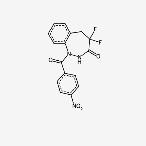 O=C(c1ccc([N+](=O)[O-])cc1)N1NC(=O)C(F)(F)Cc2ccccc21